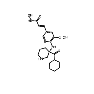 Cl.O=C(/C=C/c1cnc(N[C@]2(C(=O)C3CCCCC3)CCCNC2)c(Cl)c1)NO